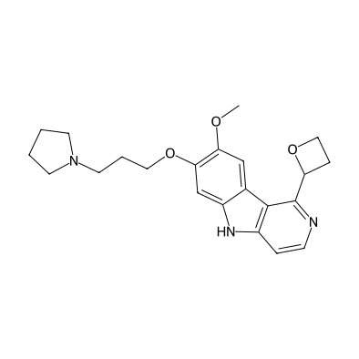 COc1cc2c(cc1OCCCN1CCCC1)[nH]c1ccnc(C3CCO3)c12